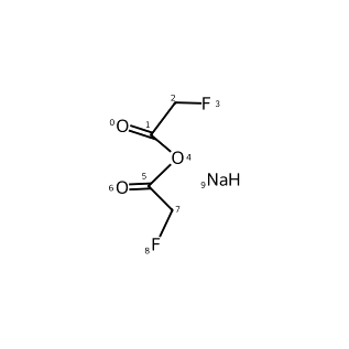 O=C(CF)OC(=O)CF.[NaH]